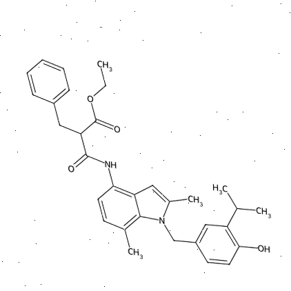 CCOC(=O)C(Cc1ccccc1)C(=O)Nc1ccc(C)c2c1cc(C)n2Cc1ccc(O)c(C(C)C)c1